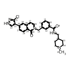 CN1CCC(CNC(=O)c2cccc(Cn3ccc4cc(-c5c[nH]nc5Cl)ccc4c3=O)c2)CC1